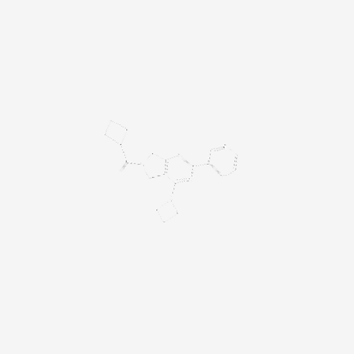 O=C(C1CCC1)N1Cc2nc(-c3cccnc3)nc(N3CCC3)c2C1